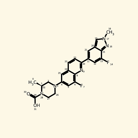 C[C@H]1CN(c2cc(F)c3nc(-c4cc(F)c5nn(C)cc5c4)ccc3c2)CCN1C(=O)O